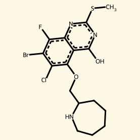 CSc1nc(O)c2c(OCC3CCCCCN3)c(Cl)c(Br)c(F)c2n1